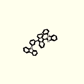 c1ccc(-n2c(-c3c4ccccc4c(-c4cccc(-n5c6ccccc6c6ccccc65)c4)c4ccccc34)nc3ccccc32)cc1